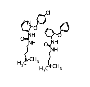 CN(C)CCCNC(=O)Nc1ccccc1Oc1ccccc1.CN(C)CCCNC(=O)Nc1cccnc1Oc1ccc(Cl)cc1